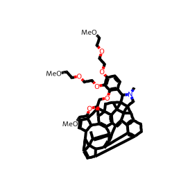 COCCOCCOc1ccc(C2N(C)CC34C5C6=c7c8c9c%10c%11c7=C(CC6)C6C=C7C%12C%13C=CC%14C%13C%13=C(C%10=C(C)C7%12C%116)C9=C6C7(CC9C6(C853)C294)C%13C%147)c(OCCOCCOC)c1OCCOCCOC